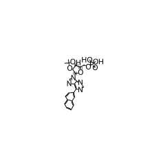 CC1(C)OC2[C@H](n3cnc4c(-c5ccc6ccccc6c5)ncnc43)O[C@H](COP(=O)(O)O)[C@H]2O1